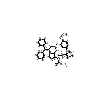 COc1ccc(-n2nnnc2C(F)(F)F)cc1CN1CC2C(OC(C)=O)CCN2C(C(c2ccccc2)c2ccccc2)C1